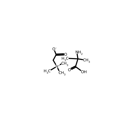 CC(C)(N)C(=O)O.C[N+](C)(C)CC(=O)[O-]